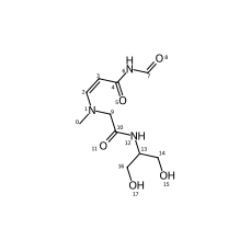 CN(/C=C\C(=O)NC=O)CC(=O)NC(CO)CO